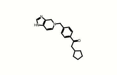 O=C(CC1CCCC1)c1ccc(CN2C=Cc3[nH]cnc3C2)cc1